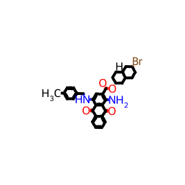 Cc1ccc(CNc2cc(C(=O)O[C@@H]3CC[C@@H]4CC(Br)CCC4C3)c(N)c3c2C(=O)c2ccccc2C3=O)cc1